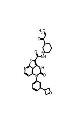 C=CC(=O)N1CCC[C@@H](NC(=O)c2sc3nccc4c3c2NC(=O)N4c2cccc(C3COC3)c2)C1